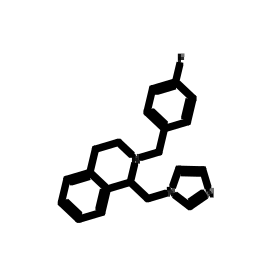 Fc1ccc(CN2CCc3ccccc3C2Cn2ccnc2)cc1